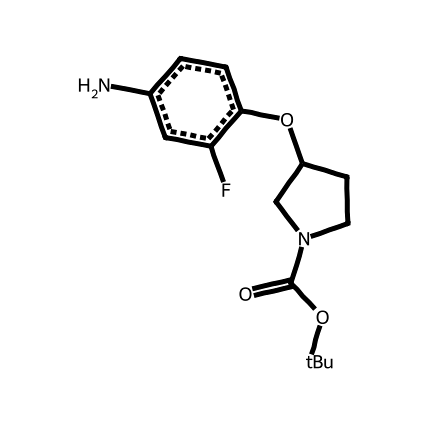 CC(C)(C)OC(=O)N1CCC(Oc2ccc(N)cc2F)C1